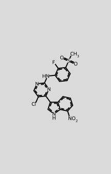 CS(=O)(=O)c1cccc(Nc2ncc(Cl)c(-c3c[nH]c4c([N+](=O)[O-])cccc34)n2)c1F